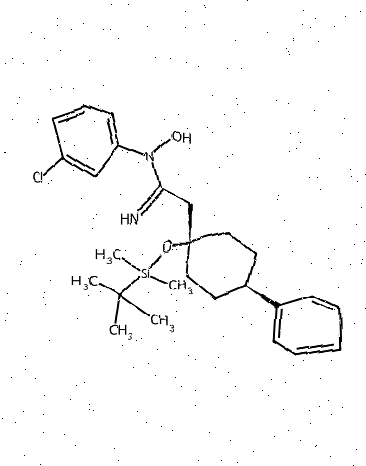 CC(C)(C)[Si](C)(C)O[C@]1(CC(=N)N(O)c2cccc(Cl)c2)CC[C@@H](c2ccccc2)CC1